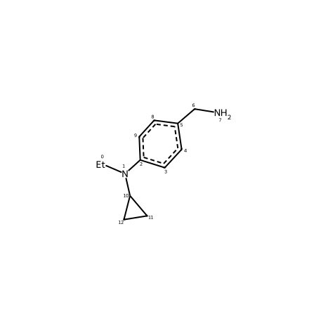 CCN(c1ccc(CN)cc1)C1CC1